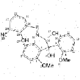 COc1ccccc1C(O)(c1ccccc1OC)[C@@H](C)N=Cc1cccc(C#N)c1O